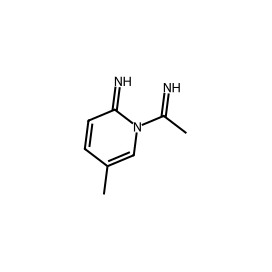 CC(=N)n1cc(C)ccc1=N